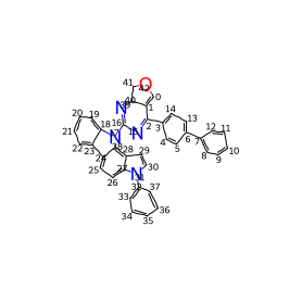 C1=C2C(c3ccc(-c4ccccc4)cc3)=NC(n3c4ccccc4c4ccc5c(ccn5-c5ccccc5)c43)=NC2CO1